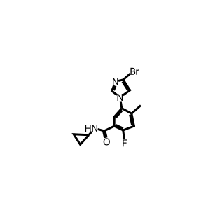 Cc1cc(F)c(C(=O)NC2CC2)cc1-n1cnc(Br)c1